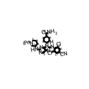 CC(C)N1CCC[C@@H](Nc2ncc3nc(Nc4c(Cl)cc(C#N)cc4Cl)n(C4CCC(C(N)=O)CC4)c3n2)C1